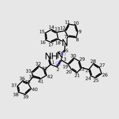 N=C(/C=C(\N=C\n1c2ccccc2c2ccccc21)c1ccc(-c2ccccc2)cc1)c1ccc(-c2ccccc2)cc1